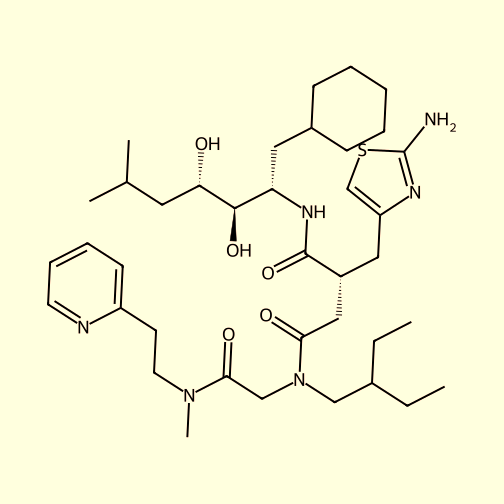 CCC(CC)CN(CC(=O)N(C)CCc1ccccn1)C(=O)C[C@@H](Cc1csc(N)n1)C(=O)N[C@@H](CC1CCCCC1)[C@@H](O)[C@@H](O)CC(C)C